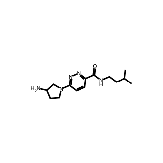 CC(C)CCNC(=O)c1ccc(N2CCC(N)C2)nn1